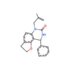 C=C(C)CN1C(=O)NC(c2ccccc2)c2c1ccc1c2OCC1